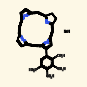 O=C(O)c1cc(-c2cc3cc4nc(cc5ccc(cc6nc(cc2[nH]3)C=C6)[nH]5)CC4)c(C(=O)O)c(C(=O)O)c1C(=O)O.[NaH]